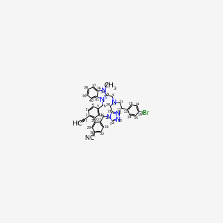 C#Cc1ccc(C[n+]2c(CN(CCc3ccc(Br)cc3)Cc3nncn3Cc3ccc(C#N)cc3)n(C)c3ccccc32)cc1